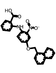 O=C(O)c1ccccc1Nc1ccc(OCc2cccc3ccccc23)cc1[N+](=O)[O-]